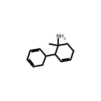 CC1(N)CCC=CC1C1C=CC=CC1